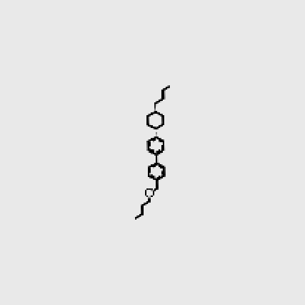 C/C=C/C[C@H]1CC[C@H](c2ccc(-c3ccc(COCCCC)cc3)cc2)CC1